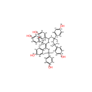 CC(C)(CC(=C(CC(CC(C)(CC(C)(C)c1ccc(O)cc1)c1ccc(O)cc1)c1ccc(O)cc1)C(C)(C)c1ccc(O)cc1)c1ccc(O)cc1)c1ccc(O)cc1